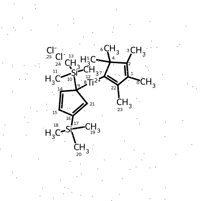 CC1=C(C)C(C)(C)[C]([Ti+2][C]2([Si](C)(C)C)C=CC([Si](C)(C)C)=C2)=C1C.[Cl-].[Cl-]